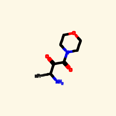 CCCC(N)C(=O)C(=O)N1CCOCC1